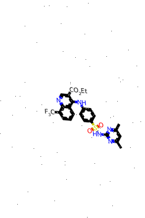 CCOC(=O)c1cnc2c(C(F)(F)F)cccc2c1Nc1ccc(S(=O)(=O)Nc2nc(C)cc(C)n2)cc1